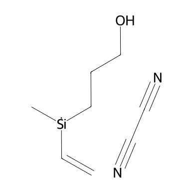 C=C[Si](C)CCCO.N#CC#N